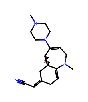 CN1CCN(C2=CCN(C)C3=CC/C(=C/C#N)CC34CSC=C24)CC1